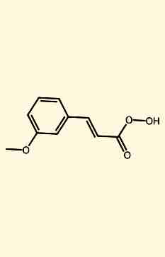 COc1cccc(C=CC(=O)OO)c1